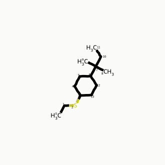 CCSC1CCC(C(C)(C)CC)CC1